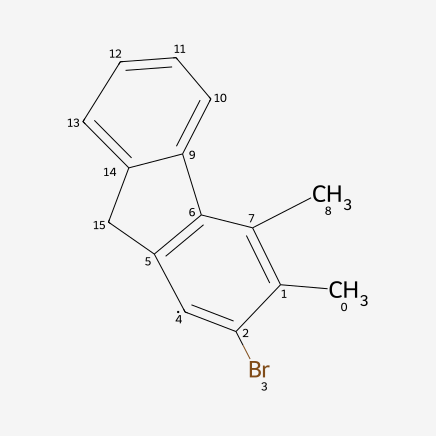 Cc1c(Br)[c]c2c(c1C)-c1ccccc1C2